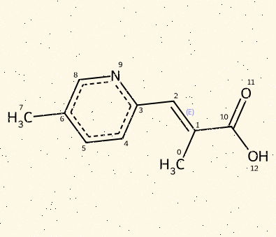 C/C(=C\c1ccc(C)cn1)C(=O)O